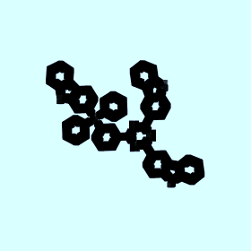 c1ccc([Si](c2ccccc2)(c2cccc(-c3nc(-c4ccc5sc6ccccc6c5c4)nc(-c4ccc5sc6ccccc6c5c4)n3)c2)c2ccc3c(c2)sc2ccccc23)cc1